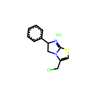 Cl.ClCC1=CSC2=NC(c3ccccc3)CN12